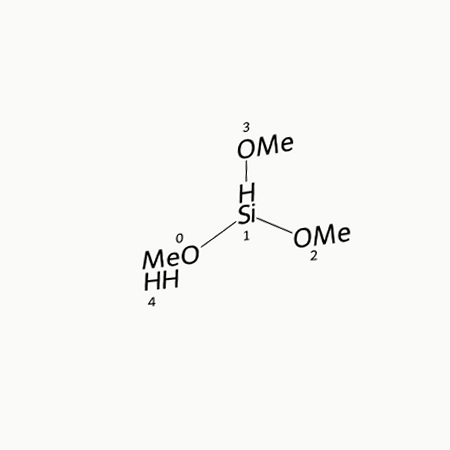 CO[SiH](OC)OC.[HH]